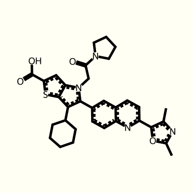 Cc1nc(C)c(-c2ccc3cc(-c4c(C5CCCCC5)c5sc(C(=O)O)cc5n4CC(=O)N4CCCC4)ccc3n2)o1